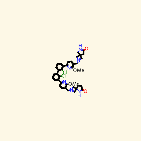 COc1nc(-c2cccc(-c3cccc(-c4ccc(CN5CC6(CCC(=O)N6)C5)c(OC)n4)c3Cl)c2Cl)ccc1CN1CC2(CNC(=O)C2)C1